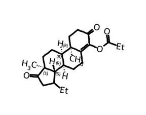 CCC(=O)OC1=C2CC[C@@H]3[C@@H](CC[C@]4(C)C(=O)CC(CC)[C@@H]34)[C@@]2(C)CCC1=O